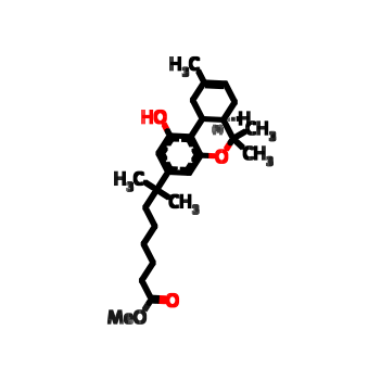 COC(=O)CCCCCC(C)(C)c1cc(O)c2c(c1)OC(C)(C)[C@@H]1CC=C(C)CC21